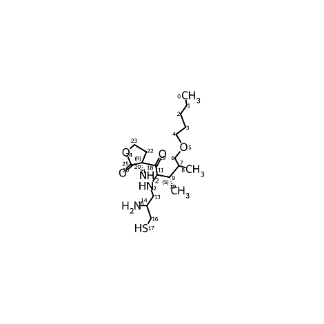 CCCCCOCC(C)[C@H](C)C(NCC(N)CS)C(=O)[C@]1(N)CCOC1=O